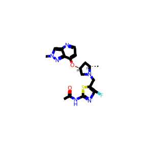 CC(=O)Nc1nc(F)c(CN2C[C@H](Oc3ccnc4cn(C)nc34)C[C@@H]2C)s1